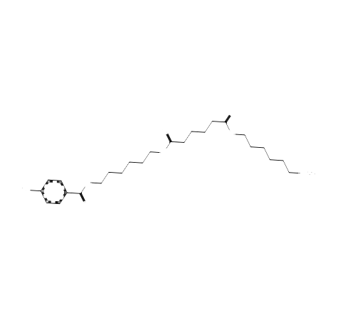 COCCCCCCOC(=O)CCCCC(=O)OCCCCCCOC(=O)c1ccc(C(C)=O)cc1